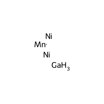 [GaH3].[Mn].[Ni].[Ni]